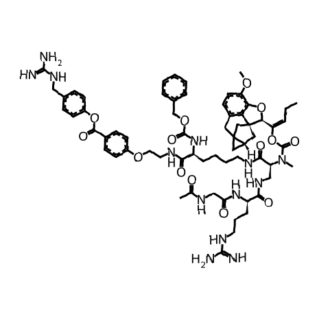 CC/C=C(/OC(=O)N(C)[C@@H](CNC(=O)[C@@H](CCCNC(=N)N)NC(=O)CNC(C)=O)C(=O)NCCCC[C@H](NC(=O)OCc1ccccc1)C(=O)NCCOc1ccc(C(=O)Oc2ccc(CNC(=N)N)cc2)cc1)[C@@H]1Oc2c(OC)ccc3c2[C@]12C[C@@H]1CC1(C3)C2